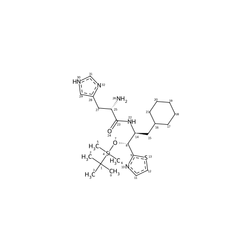 CC(C)(C)[Si](C)(C)O[C@@H](c1nccs1)[C@H](CC1CCCCC1)NC(=O)[C@@H](N)Cc1c[nH]cn1